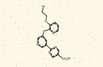 [2H]CCOc1cccnc1Oc1cncc(-c2ncc(C(=O)OCC)cn2)c1